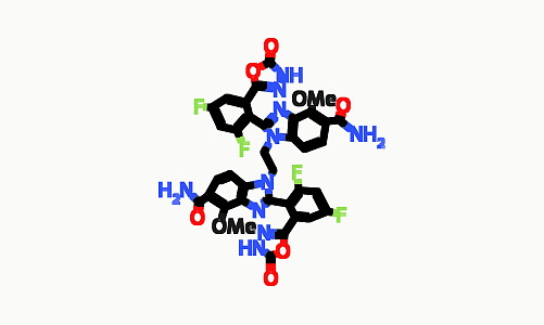 COc1c(C(N)=O)ccc2c1nc(-c1c(F)cc(F)cc1-c1n[nH]c(=O)o1)n2CCn1c(-c2c(F)cc(F)cc2-c2n[nH]c(=O)o2)nc2c(OC)c(C(N)=O)ccc21